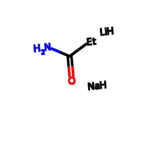 CCC(N)=O.[LiH].[NaH]